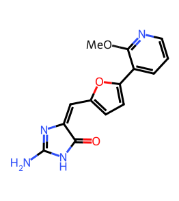 COc1ncccc1-c1ccc(/C=C2/N=C(N)NC2=O)o1